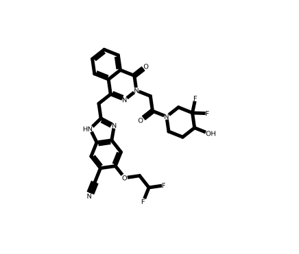 N#Cc1cc2[nH]c(Cc3nn(CC(=O)N4CCC(O)C(F)(F)C4)c(=O)c4ccccc34)nc2cc1OCC(F)F